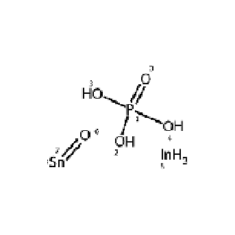 O=P(O)(O)O.[InH3].[O]=[Sn]